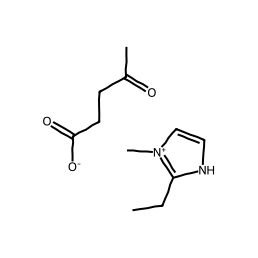 CC(=O)CCC(=O)[O-].CCc1[nH]cc[n+]1C